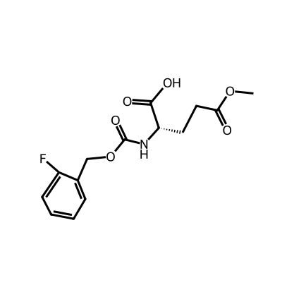 COC(=O)CC[C@H](NC(=O)OCc1ccccc1F)C(=O)O